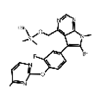 Cc1ccnc(Oc2ccc(-c3c(Br)n(C)c4ncnc(CO[Si](C)(C)C(C)(C)C)c34)cc2F)n1